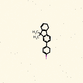 CC1(C)C2=C(CCC=C2)c2ccc(C3=CC=C(I)CC3)cc21